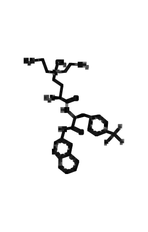 C[N+](CCN)(CCN)CC[C@H](N)C(=O)N[C@@H](Cc1ccc(C(F)(F)F)cc1)C(=O)Nc1cnc2ccccc2c1